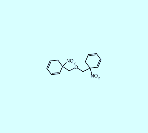 O=[N+]([O-])C1(COCC2([N+](=O)[O-])C=CC=CC2)C=CC=CC1